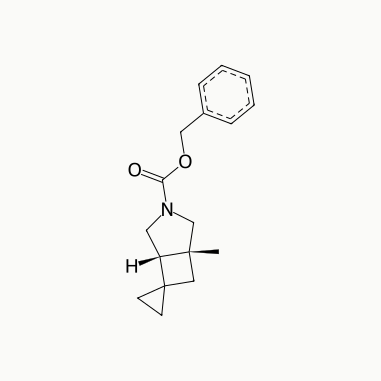 C[C@]12CN(C(=O)OCc3ccccc3)C[C@H]1C1(CC1)C2